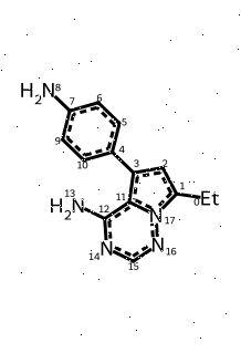 CCc1cc(-c2ccc(N)cc2)c2c(N)ncnn12